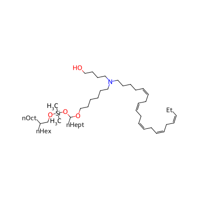 CC/C=C\C/C=C\C/C=C\C/C=C\C/C=C\CCCCN(CCCCO)CCCCCCOC(CCCCCCC)O[Si](C)(C)OCC(CCCCCC)CCCCCCCC